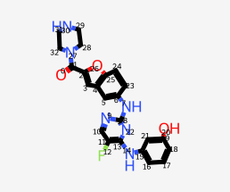 O=C(c1cc2cc(Nc3ncc(F)c(Nc4cccc(O)c4)n3)ccc2o1)N1CCNCC1